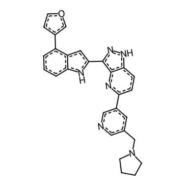 c1cc(-c2ccoc2)c2cc(-c3n[nH]c4ccc(-c5cncc(CN6CCCC6)c5)nc34)[nH]c2c1